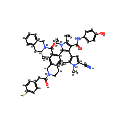 Cc1c(-c2c(C(=O)Nc3ccc(O)cc3)c(C)n(C)c2-c2cc3c(cc2C(=O)N2Cc4ccccc4C[C@H]2C)CN(C(=O)Cc2ccc(F)cc2)CC3)cc(C#N)n1C